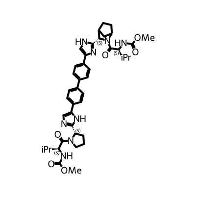 COC(=O)N[C@H](C(=O)N1CCC[C@H]1c1ncc(-c2ccc(-c3ccc(-c4c[nH]c([C@@H]5C6CCC(C6)N5C(=O)[C@@H](NC(=O)OC)C(C)C)n4)cc3)cc2)[nH]1)C(C)C